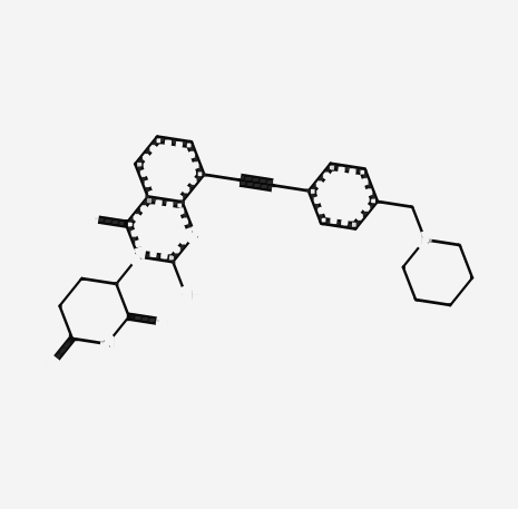 Cc1nc2c(C#Cc3ccc(CN4CCCCC4)cc3)cccc2c(=O)n1C1CCC(=O)NC1=O